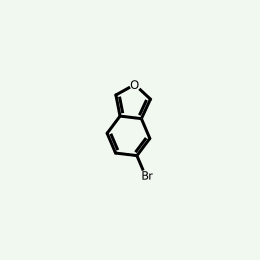 Brc1ccc2cocc2c1